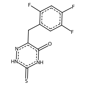 O=c1[nH]c(=S)[nH]nc1Cc1cc(F)c(F)cc1F